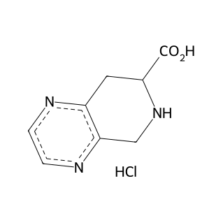 Cl.O=C(O)C1Cc2nccnc2CN1